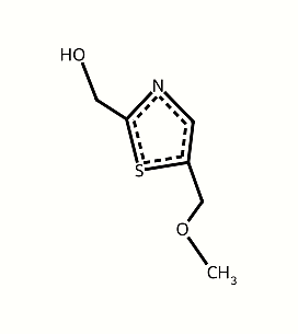 COCc1cnc(CO)s1